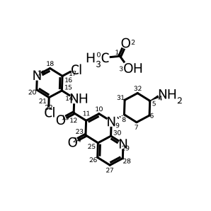 CC(=O)O.N[C@H]1CC[C@H](n2cc(C(=O)Nc3c(Cl)cncc3Cl)c(=O)c3cccnc32)CC1